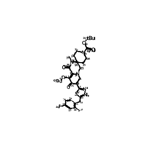 CCCCOc1c2n(cc(-c3nnc(Cc4ccc(F)cc4F)s3)c1=O)CC1(CCN(C(=O)OC(C)(C)C)CC1)N(C)C2=O